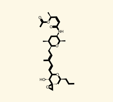 CCC[C@H]1C[C@@]2(CO2)[C@H](O)C(/C=C/C(C)=C/C[C@@H]2O[C@H](C)[C@H](NC(=O)/C=C\[C@H](C)OC(C)=O)C[C@@H]2C)O1